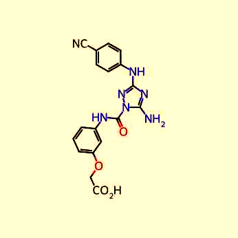 N#Cc1ccc(Nc2nc(N)n(C(=O)Nc3cccc(OCC(=O)O)c3)n2)cc1